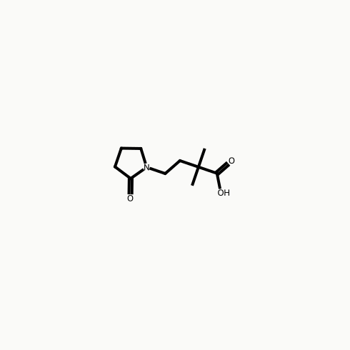 CC(C)(CCN1CCCC1=O)C(=O)O